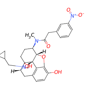 CN(C(=O)Cc1cccc([N+](=O)[O-])c1)[C@@H]1CC[C@@]2(O)[C@H]3Cc4ccc(O)c5c4[C@@]2(CCN3CC2CC2)[C@H]1O5